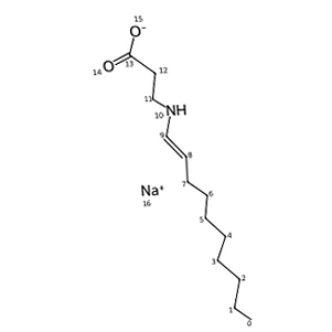 CCCCCCCCC=CNCCC(=O)[O-].[Na+]